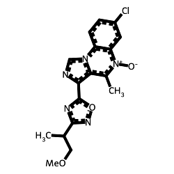 COCC(C)c1noc(-c2ncn3c2c(C)[n+]([O-])c2cc(Cl)ccc23)n1